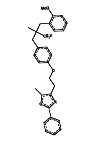 COc1ccccc1CC(C)(Cc1ccc(OCCc2nc(-c3ccccc3)oc2C)cc1)C(=O)O